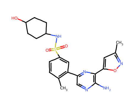 Cc1cc(-c2nc(-c3cc(S(=O)(=O)NC4CCC(O)CC4)ccc3C)cnc2N)on1